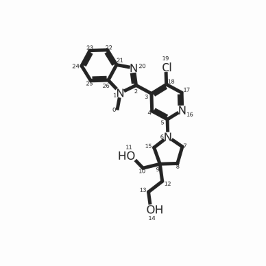 Cn1c(-c2cc(N3CCC(CO)(CCO)C3)ncc2Cl)nc2ccccc21